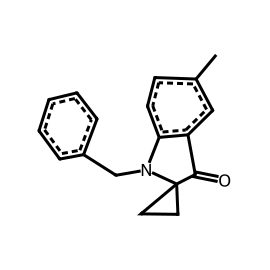 Cc1ccc2c(c1)C(=O)C1(CC1)N2Cc1ccccc1